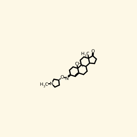 CN1CC[C@H](ON=C2C=C3CCC4C5CCC(=O)C5(C)CCC4C3(C)CC2)C1